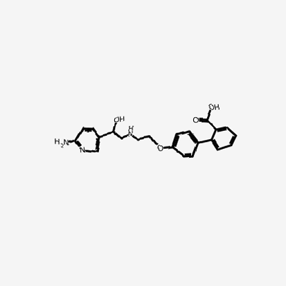 Nc1ccc(C(O)CNCCOc2ccc(-c3ccccc3C(=O)O)cc2)cn1